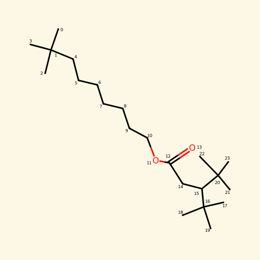 CC(C)(C)CCCCCCCOC(=O)CC(C(C)(C)C)C(C)(C)C